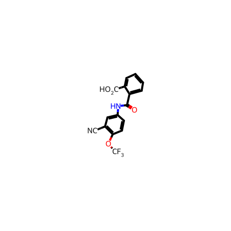 N#Cc1cc(NC(=O)c2ccccc2C(=O)O)ccc1OC(F)(F)F